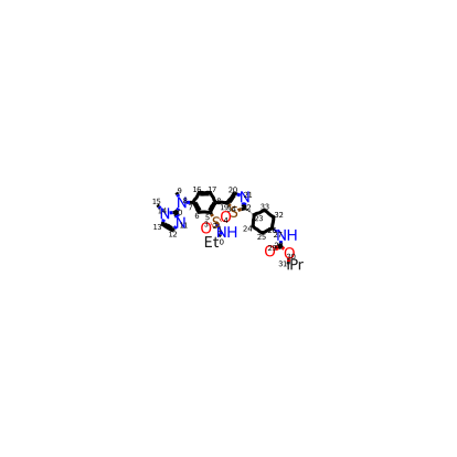 CCNS(=O)(=O)c1cc(N(C)c2nccn2C)ccc1-c1cnc([C@H]2CC[C@H](NC(=O)OC(C)C)CC2)s1